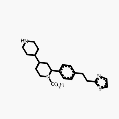 O=C(O)N1CCC(C2CCNCC2)CC1c1ccc(CCc2nccs2)cc1